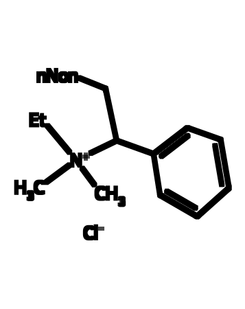 CCCCCCCCCCC(c1ccccc1)[N+](C)(C)CC.[Cl-]